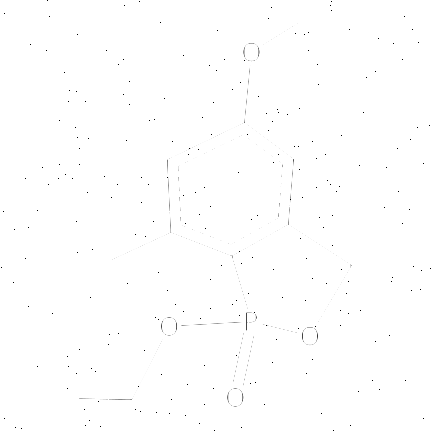 CCOP1(=O)OCc2cc(OC)cc(C)c21